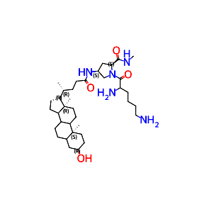 CNC(=O)[C@@H]1C[C@H](NC(=O)CC[C@@H](C)[C@H]2CCC3C4CCC5C[C@H](O)CC[C@]5(C)C4CC[C@@]32C)CN1C(=O)C(N)CCCCN